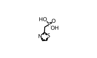 O=P(O)(O)Cc1nccs1